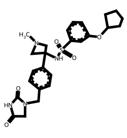 CN1CC(NS(=O)(=O)c2cccc(OC3CCCC3)c2)(c2ccc(CN3CC(=O)NC3=O)cc2)C1